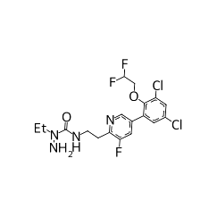 CCN(N)C(=O)NCCc1ncc(-c2cc(Cl)cc(Cl)c2OCC(F)F)cc1F